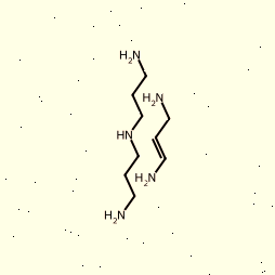 NC=CCN.NCCCNCCCN